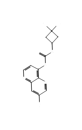 O=C(Nc1ccnc2cc(Br)cnc12)NC1CC(F)(F)C1